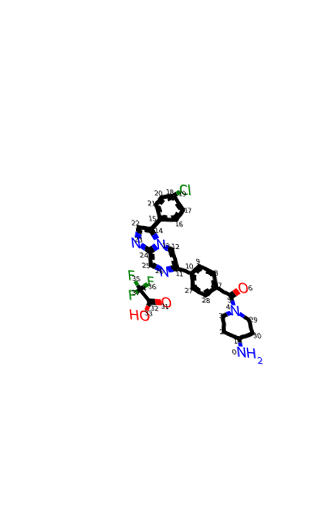 NC1CCN(C(=O)c2ccc(-c3cn4c(-c5ccc(Cl)cc5)cnc4cn3)cc2)CC1.O=C(O)C(F)(F)F